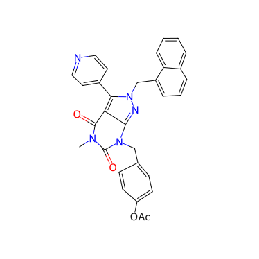 CC(=O)Oc1ccc(Cn2c(=O)n(C)c(=O)c3c(-c4ccncc4)n(Cc4cccc5ccccc45)nc32)cc1